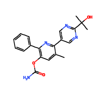 Cc1cc(OC(N)=O)c(-c2ccccc2)nc1-c1cnc(C(C)(C)O)nc1